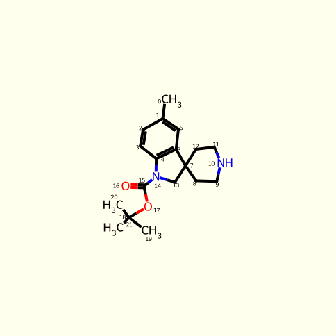 Cc1ccc2c(c1)C1(CCNCC1)CN2C(=O)OC(C)(C)C